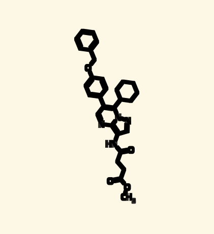 COC(=O)CCC(=O)Nc1cnn2c(C3CCCCC3)c(-c3ccc(OCc4ccccc4)cc3)cnc12